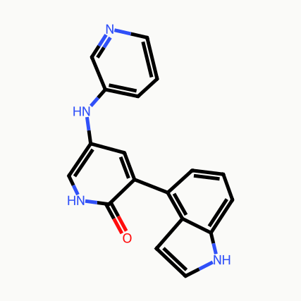 O=c1[nH]cc(Nc2cccnc2)cc1-c1cccc2[nH]ccc12